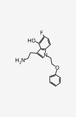 NCCc1cn(CCOc2ccccc2)c2ccc(F)c(O)c12